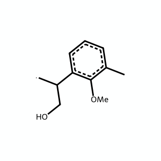 [CH2]C(CO)c1cccc(C)c1OC